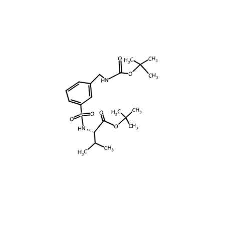 CC(C)[C@H](NS(=O)(=O)c1cccc(CNC(=O)OC(C)(C)C)c1)C(=O)OC(C)(C)C